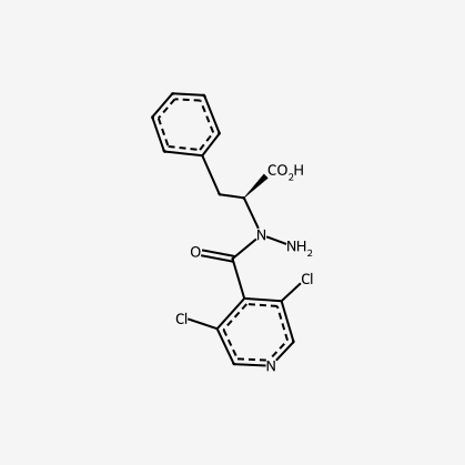 NN(C(=O)c1c(Cl)cncc1Cl)[C@@H](Cc1ccccc1)C(=O)O